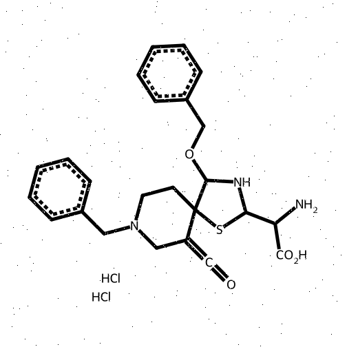 Cl.Cl.NC(C(=O)O)C1NC(OCc2ccccc2)C2(CCN(Cc3ccccc3)CC2=C=O)S1